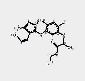 C/C=C\c1c(C)nn(C)c1Oc1cc(OC(C)C(=O)OCC)c(Cl)cc1Cl